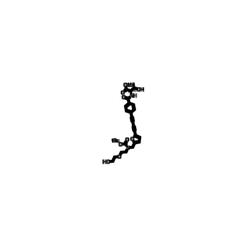 COC(=O)[C@H](NC(=O)c1ccc(C#CC#Cc2ccc(CN(CCOCCO)C(=O)OC(C)(C)C)o2)cc1)[C@@H](C)O